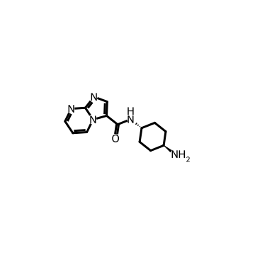 N[C@H]1CC[C@H](NC(=O)c2cnc3ncccn23)CC1